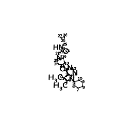 Cc1c(C)n(C2CCCCC2)c2ncnc(OC3CCN(CC(=O)NCC4CC4)CC3)c12